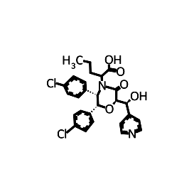 CCCC(C(=O)O)N1C(=O)[C@@H]([C@@H](O)c2ccncc2)O[C@H](c2ccc(Cl)cc2)[C@@H]1c1ccc(Cl)cc1